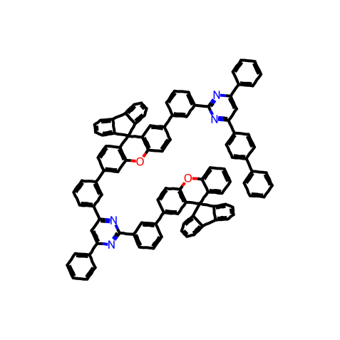 c1ccc(-c2ccc(-c3cc(-c4ccccc4)nc(-c4cccc(-c5ccc6c(c5)C5(c7ccc(-c8cccc(-c9cc(-c%10ccccc%10)nc(-c%10cccc(-c%11ccc%12c(c%11)C%11(c%13ccccc%13O%12)c%12ccccc%12-c%12ccccc%12%11)c%10)n9)c8)cc7O6)c6ccccc6-c6ccccc65)c4)n3)cc2)cc1